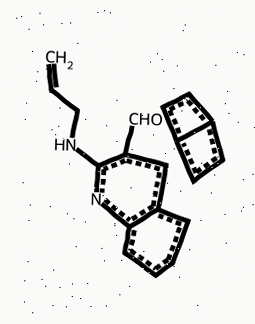 C=CCNc1nc2ccccc2cc1C=O.c1cc2ccc1-2